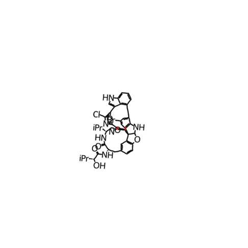 CC(C)[C@H](O)C(=O)N[C@H]1Cc2ccc3c(c2)C24c5cc(Br)cc(c5NC2O3)-c2cccc3[nH]cc(c23)-c2oc(nc2Cl)-c2nc(oc24)[C@H](C(C)C)NC1=O